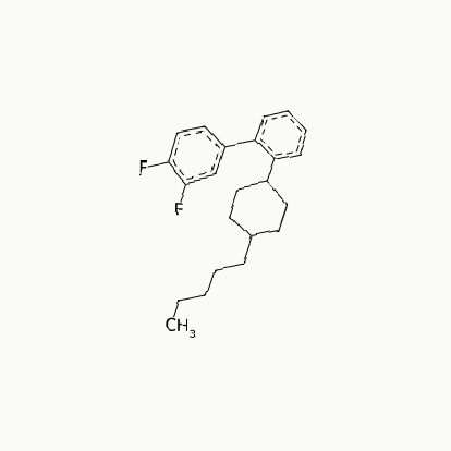 CCCCCC1CCC(c2ccccc2-c2ccc(F)c(F)c2)CC1